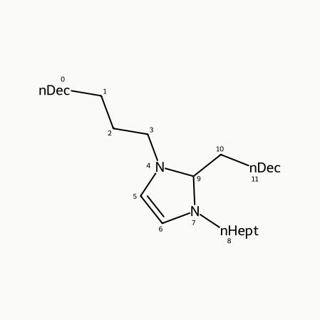 CCCCCCCCCCCCCN1C=CN(CCCCCCC)C1CCCCCCCCCCC